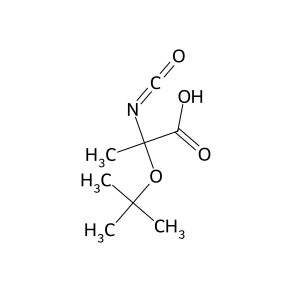 CC(C)(C)OC(C)(N=C=O)C(=O)O